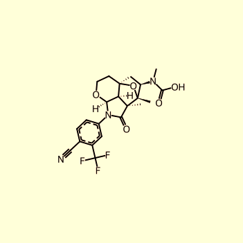 CN(C(=O)O)[C@@H]1C[C@@]23CCO[C@H]4[C@@H]2[C@](C)(C(=O)N4c2ccc(C#N)c(C(F)(F)F)c2)[C@]1(C)O3